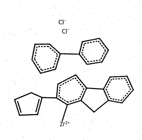 [Cl-].[Cl-].[Zr+2][c]1c(C2=CC=CC2)ccc2c1Cc1ccccc1-2.c1ccc(-c2ccccc2)cc1